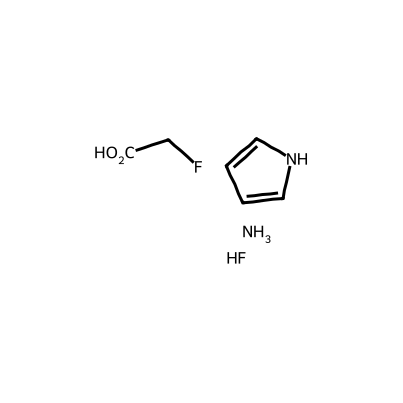 F.N.O=C(O)CF.c1cc[nH]c1